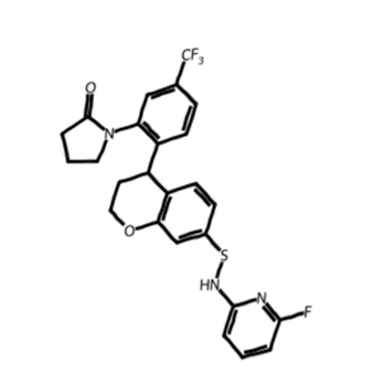 O=C1CCCN1c1cc(C(F)(F)F)ccc1C1CCOc2cc(SNc3cccc(F)n3)ccc21